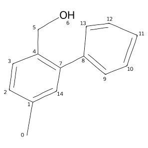 Cc1ccc(CO)c(-c2ccccc2)c1